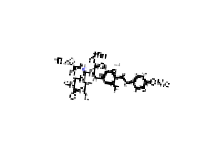 COc1ccc(CCc2c(F)cc(CN(C(=O)OC(C)(C)C)/C(=N/C(=O)OC(C)(C)C)N3CN(C)C(=O)N(C)C3)cc2F)cc1